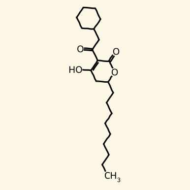 CCCCCCCCCC1CC(O)=C(C(=O)CC2CCCCC2)C(=O)O1